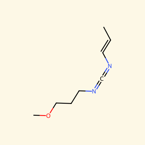 CC=CN=C=NCCCOC